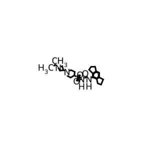 CC(C)N1CC(N2CCC(S(=O)(=O)NC(=O)Nc3c4c(cc5c3CCC5)CCC4)CC2)C1